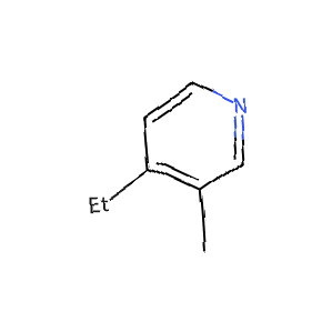 CCc1ccncc1C